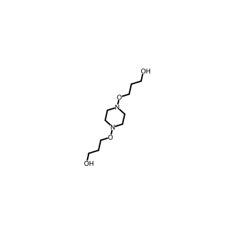 OCCCON1CCN(OCCCO)CC1